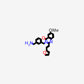 COc1ccc2nc(C=Cc3ccco3)n(Cc3cccc(CN)c3)c(=O)c2c1